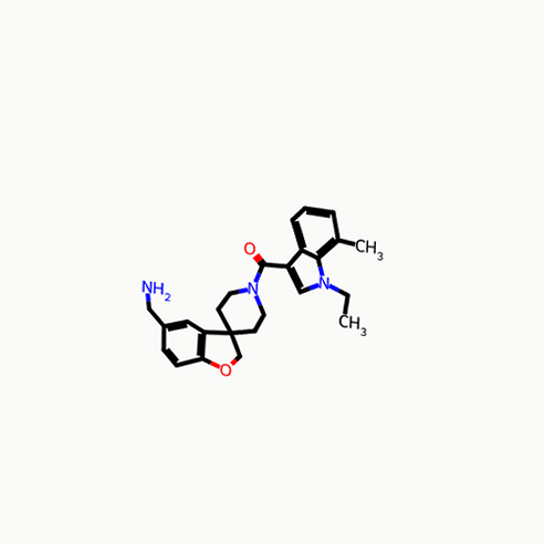 CCn1cc(C(=O)N2CCC3(CC2)COc2ccc(CN)cc23)c2cccc(C)c21